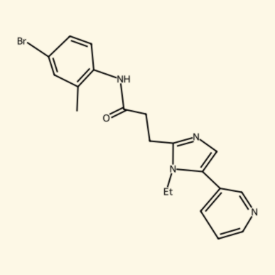 CCn1c(-c2cccnc2)cnc1CCC(=O)Nc1ccc(Br)cc1C